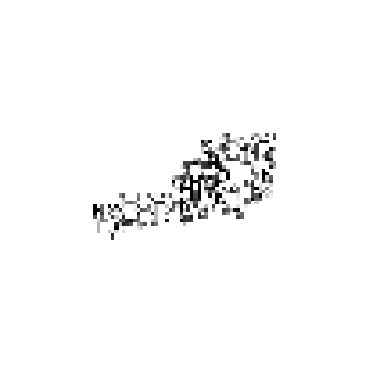 N#Cc1ccc(N2CCC(C(=O)Nc3ccc(N4CCC(CN5CCN(C[C@@H]6CCCN(c7ccc8c(c7)C(=O)N(C7CCC(=O)NC7=O)C8=O)C6)CC5)CC4)cn3)CC2)cc1C(F)(F)F